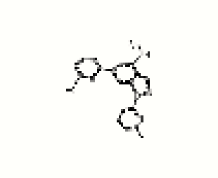 CC(=O)c1cccc(-c2cc(NC(=O)O)c3cnn(-c4cccc(C)n4)c3c2)n1